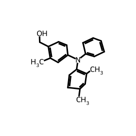 Cc1ccc(N(c2ccccc2)c2ccc(CO)c(C)c2)c(C)c1